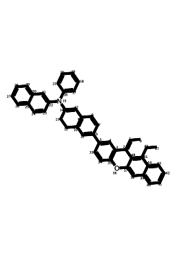 C/C=C1/c2cc(-c3ccc4c(c3)CCC(N(c3ccccc3)c3ccc5ccccc5c3)=C4)ccc2Oc2cc3ccccc3c(CC)c21